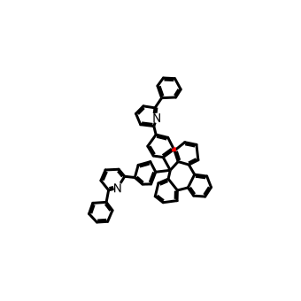 c1ccc(-c2cccc(-c3ccc(C4(c5ccc(-c6cccc(-c7ccccc7)n6)cc5)c5ccccc5-c5ccccc5-c5ccccc54)cc3)n2)cc1